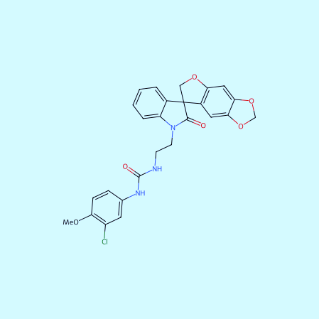 COc1ccc(NC(=O)NCCN2C(=O)C3(COc4cc5c(cc43)OCO5)c3ccccc32)cc1Cl